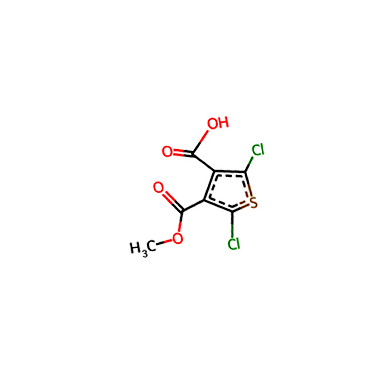 COC(=O)c1c(Cl)sc(Cl)c1C(=O)O